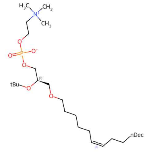 CCCCCCCCCCCC/C=C\CCCCCOC[C@H](COP(=O)([O-])OCC[N+](C)(C)C)OC(C)(C)C